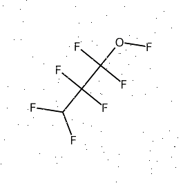 FOC(F)(F)C(F)(F)C(F)F